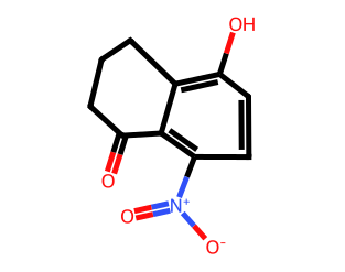 O=C1CCCc2c(O)ccc([N+](=O)[O-])c21